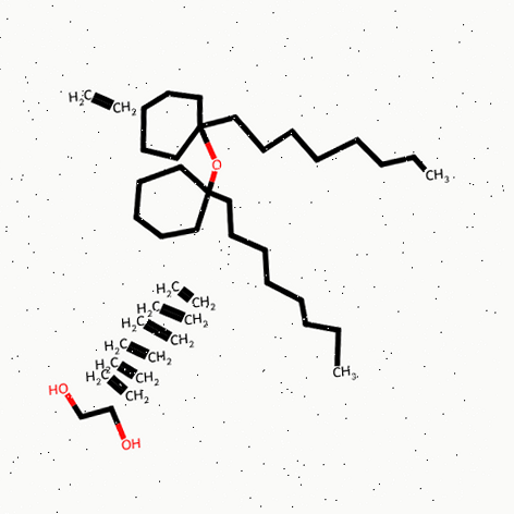 C=C.C=C.C=C.C=C.C=C.C=C.C=C.CCCCCCCCC1(OC2(CCCCCCCC)CCCCC2)CCCCC1.OCCO